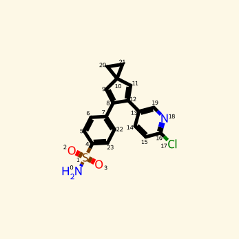 NS(=O)(=O)c1ccc(C2=CC3(C=C2c2ccc(Cl)nc2)CC3)cc1